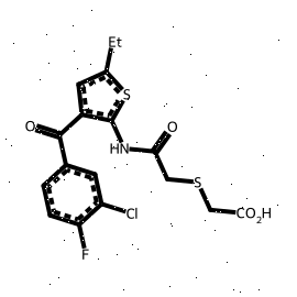 CCc1cc(C(=O)c2ccc(F)c(Cl)c2)c(NC(=O)CSCC(=O)O)s1